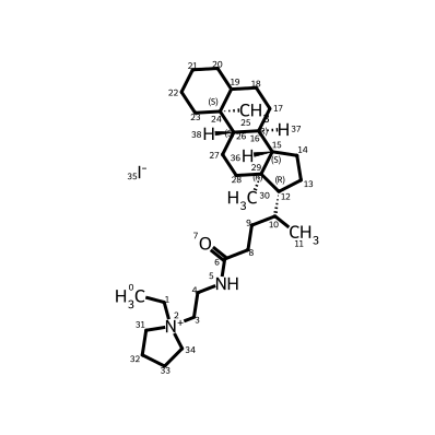 CC[N+]1(CCNC(=O)CCC(C)[C@H]2CC[C@H]3[C@@H]4CCC5CCCC[C@]5(C)[C@H]4CC[C@]23C)CCCC1.[I-]